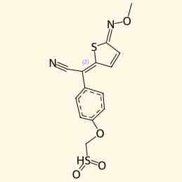 CON=C1C=C/C(=C(/C#N)c2ccc(OC[SH](=O)=O)cc2)S1